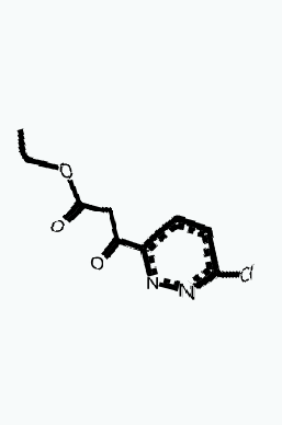 CCOC(=O)CC(=O)c1ccc(Cl)nn1